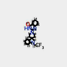 O=c1[nH]c(N2CCC3(CC2)CN(CC(F)(F)F)c2ccccc23)nc2c1CCCC2